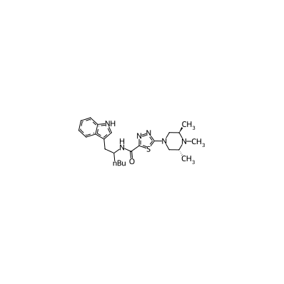 CCCCC(Cc1c[nH]c2ccccc12)NC(=O)c1nnc(N2C[C@@H](C)N(C)[C@H](C)C2)s1